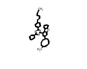 C=C/C=C\C=C/Cc1ccc(-c2nc(-c3ccccc3)nc(-c3cc(/C4=C/CCC(=C)/C=C\C=C/C4)cc4oc5ccccc5c34)n2)cc1